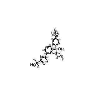 CN1CC(C)(C(O)(c2ccc(S(F)(F)(F)(F)F)cc2)c2cncc(-c3noc(C(C)(C)O)n3)c2)C1